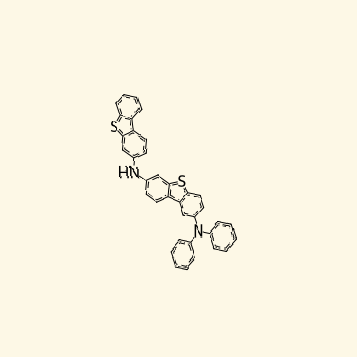 c1ccc(N(c2ccccc2)c2ccc3sc4cc(Nc5ccc6c(c5)sc5ccccc56)ccc4c3c2)cc1